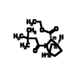 CCOC(=O)[C@@H]1[C@H]2CC[C@H](C2)N1C(=O)CC(C)(C)C